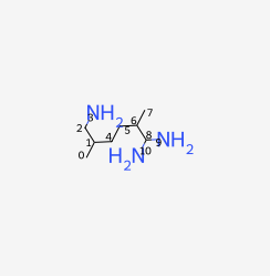 CC(CN)CCC(C)C(N)N